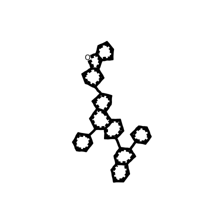 c1ccc(-c2cc3ccccc3cc2-c2ccc3c(c2)c(-c2ccccc2)cc2cc(-c4ccc5oc6ccccc6c5c4)ccc23)cc1